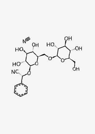 C#N.N#C[C@H](O[C@@H]1O[C@H](CO[C@@H]2O[C@H](CO)[C@@H](O)[C@H](O)[C@H]2O)[C@@H](O)[C@H](O)[C@H]1O)c1ccccc1